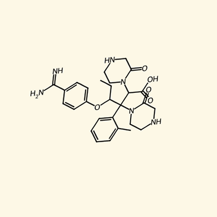 CCC(Oc1ccc(C(=N)N)cc1)C(c1ccccc1C)(C(C(=O)O)N1CCNCC1=O)N1CCNCC1=O